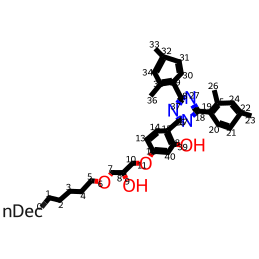 CCCCCCCCCCCCCCCOCC(O)COc1ccc(-c2nc(-c3ccc(C)cc3C)nc(-c3ccc(C)cc3C)n2)c(O)c1